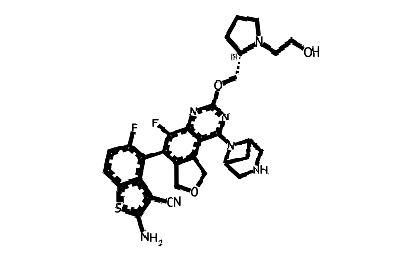 N#Cc1c(N)sc2ccc(F)c(-c3c4c(c5c(N6C7CNCC6C7)nc(OC[C@@H]6CCCN6CCO)nc5c3F)COC4)c12